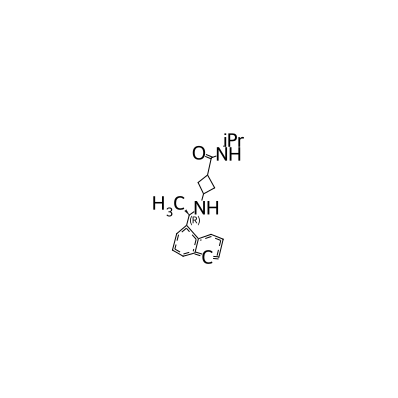 CC(C)NC(=O)C1CC(N[C@H](C)c2cccc3ccccc23)C1